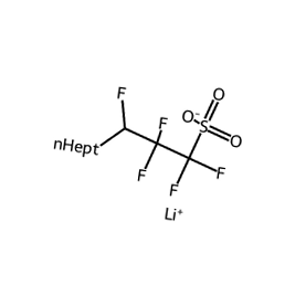 CCCCCCCC(F)C(F)(F)C(F)(F)S(=O)(=O)[O-].[Li+]